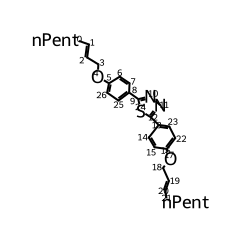 CCCCC/C=C/COc1ccc(-c2nnc(-c3ccc(OC/C=C/CCCCC)cc3)s2)cc1